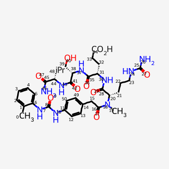 Cc1ccccc1NC(=O)Nc1ccc(CC(=O)N(C)[C@@H](CCCNC(N)=O)C(=O)N[C@@H](CCC(=O)O)C(=O)N[C@@H](CO)C(=O)N[C@H](C(N)=O)C(C)C)cc1